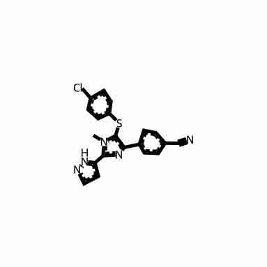 Cn1c(-c2ccn[nH]2)nc(-c2ccc(C#N)cc2)c1Sc1ccc(Cl)cc1